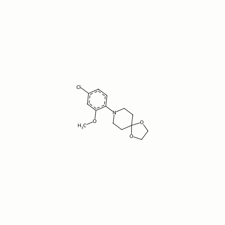 COc1cc(Cl)ccc1N1CCC2(CC1)OCCO2